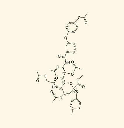 COC(=O)[C@]1(Sc2ccc(C)cc2)C[C@H](OC(C)=O)[C@@H](NC(=O)COC(C)=O)[C@H]([C@H](OC(C)=O)[C@@H](CNC(=O)c2cccc(Oc3ccc(OC(C)=O)cc3)c2)OC(C)=O)O1